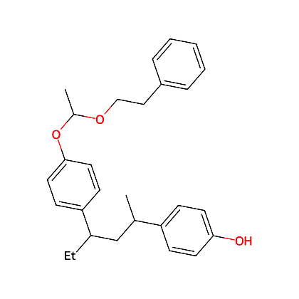 CCC(CC(C)c1ccc(O)cc1)c1ccc(OC(C)OCCc2ccccc2)cc1